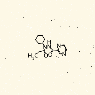 CCC(=O)N(NC(=O)c1cnccn1)C1CCCCC1